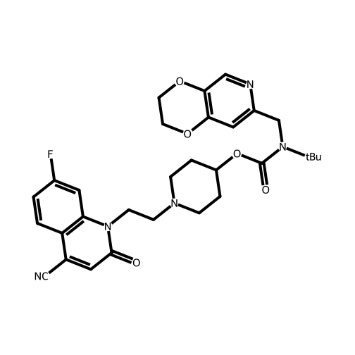 CC(C)(C)N(Cc1cc2c(cn1)OCCO2)C(=O)OC1CCN(CCn2c(=O)cc(C#N)c3ccc(F)cc32)CC1